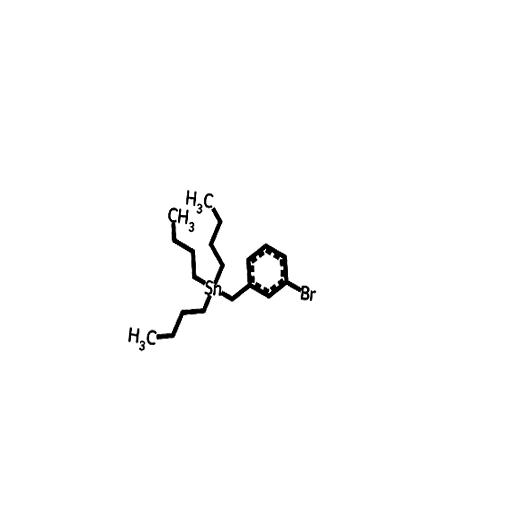 CCC[CH2][Sn]([CH2]CCC)([CH2]CCC)[CH2]c1cccc(Br)c1